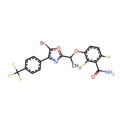 C[C](Oc1ccc(F)c(C(N)=O)c1F)c1nc(-c2ccc(C(F)(F)F)cc2)c(Br)o1